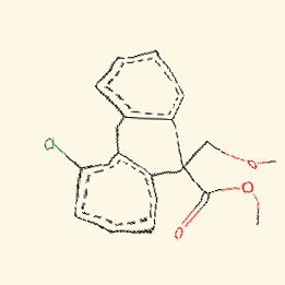 COCC1(C(=O)OC)c2ccccc2-c2c(Cl)cccc21